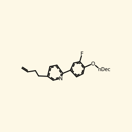 C=CCCc1ccc(-c2ccc(OCCCCCCCCCC)c(F)c2)nc1